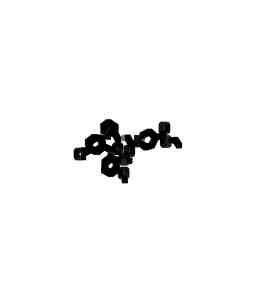 CCOC(=O)C1CCN(C(=O)C[C@@H]2O[C@@H](c3cccc(OC)c3OC)c3cc(Cl)ccc3-n3cccc32)CC1